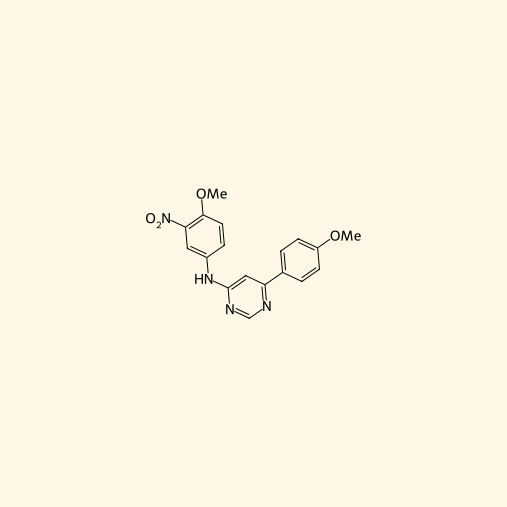 COc1ccc(-c2cc(Nc3ccc(OC)c([N+](=O)[O-])c3)ncn2)cc1